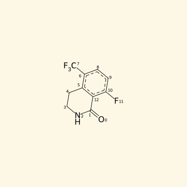 O=C1NCCc2c(C(F)(F)F)ccc(F)c21